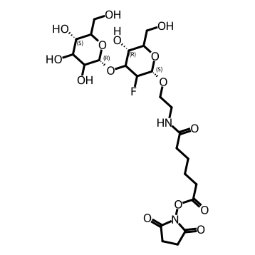 O=C(CCCCC(=O)ON1C(=O)CCC1=O)NCCO[C@H]1OC(CO)[C@@H](O)C(O[C@H]2OC(CO)[C@@H](O)C(O)C2O)C1F